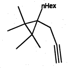 C#CCC1(CCCCCC)C(C)(C)C1(C)C